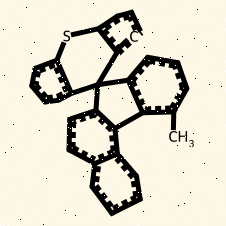 Cc1cccc2c1-c1c(ccc3ccccc13)C21c2ccccc2Sc2ccccc21